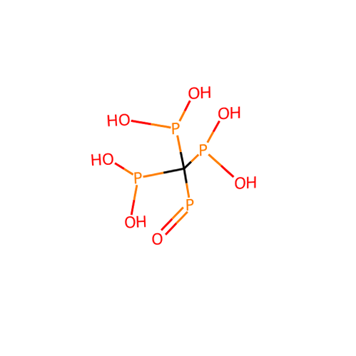 O=PC(P(O)O)(P(O)O)P(O)O